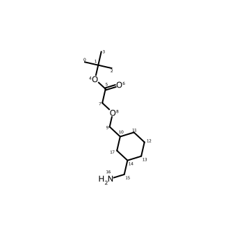 CC(C)(C)OC(=O)COCC1CCCC(CN)C1